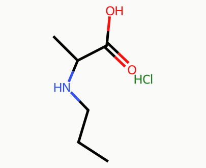 CCCNC(C)C(=O)O.Cl